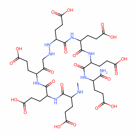 CNC(CCC(=O)O)C(=O)NC(CCC(=O)O)C(=O)NC(CCC(=O)O)C(=O)CNNC(CCC(=O)O)C(=O)NC(CCC(=O)O)C(=O)NC(CCC(=O)O)C(=O)NC(CCC(=O)O)C(N)=O